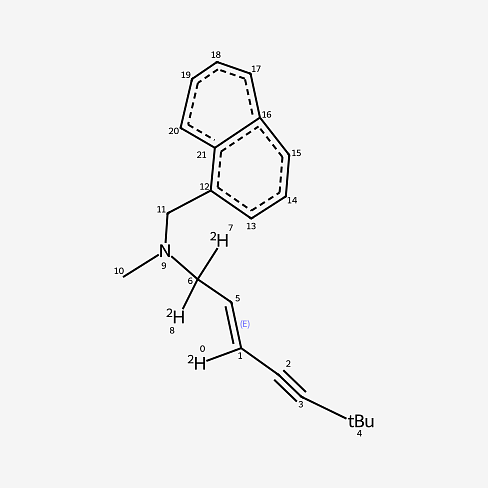 [2H]/C(C#CC(C)(C)C)=C\C([2H])([2H])N(C)Cc1cccc2ccccc12